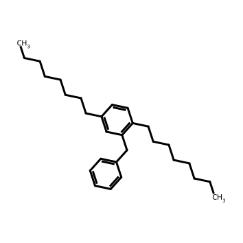 CCCCCCCCc1ccc(CCCCCCCC)c(Cc2ccccc2)c1